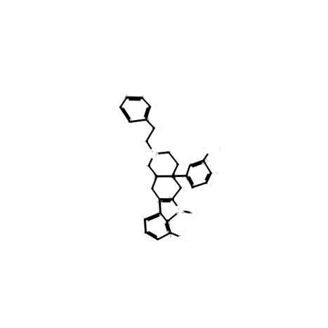 Cn1c2c(c3cccc(F)c31)CC1CN(CCc3ccccc3)CCC1(c1cccc(O)c1)C2